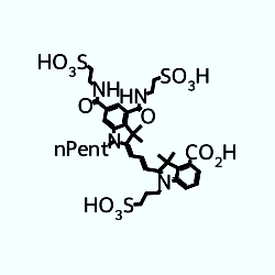 CCCCCN1/C(=C/C=C/C2=[N+](CCCS(=O)(=O)O)c3cccc(C(=O)O)c3C2(C)C)C(C)(C)c2c(C(=O)NCCS(=O)(=O)O)cc(C(=O)NCCS(=O)(=O)O)cc21